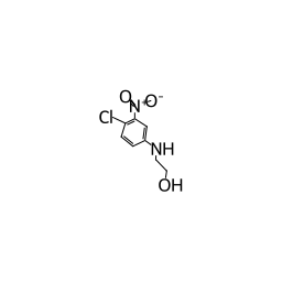 O=[N+]([O-])c1cc(NCCO)ccc1Cl